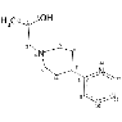 CC(O)[CH]N1CCC(c2ccccn2)CC1